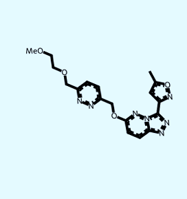 COCCOCc1ccc(COc2ccc3nnc(-c4cc(C)on4)n3n2)nn1